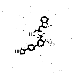 CC(CO)(Cc1c[nH]c2ccccc12)NC(=O)c1cc(-c2ccc(-c3cc[nH]n3)cc2)ccc1OC(F)(F)F